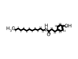 CCCCCCCCCCCCNC(=O)CCc1ccc(O)cc1